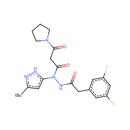 CC(C)(C)c1cc(N(NC(=O)Cc2cc(F)cc(F)c2)C(=O)CC(=O)N2CCCC2)[nH]n1